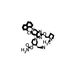 Cc1cccc2cccc(N3CCc4c(nc(OCC5CCCN5C)nc4N4CC[C@H](OC(N)=O)[C@@H](CC#N)C4)C3)c12